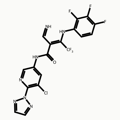 N=C/C(C(=O)Nc1cnc(-n2nccn2)c(Cl)c1)=C(\Nc1ccc(F)c(F)c1F)C(F)(F)F